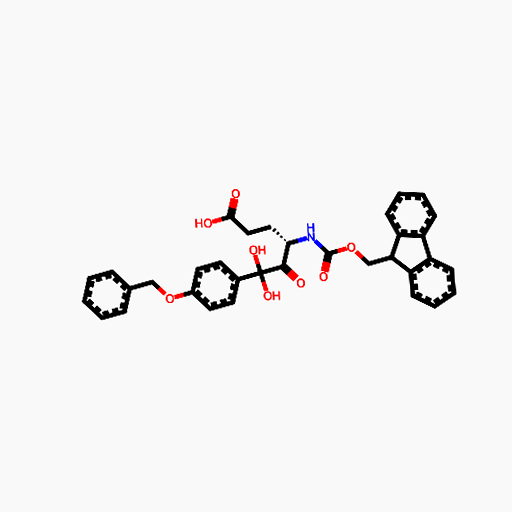 O=C(O)CC[C@H](NC(=O)OCC1c2ccccc2-c2ccccc21)C(=O)C(O)(O)c1ccc(OCc2ccccc2)cc1